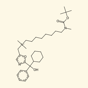 CN(CCCCCCCC[N+](C)(C)Cc1cnc(C(O)(c2ccccc2)C2CCCCC2)o1)C(=O)OC(C)(C)C